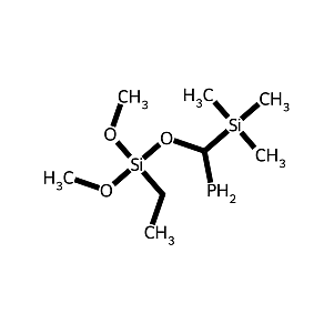 CC[Si](OC)(OC)OC(P)[Si](C)(C)C